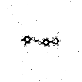 Cc1ccc(OCCOc2ccc(C3SCCCS3)cc2)cc1C